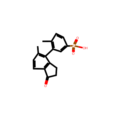 Cc1ccc(S(=O)(=O)O)cc1-c1c(C)ccc2c1CCC2=O